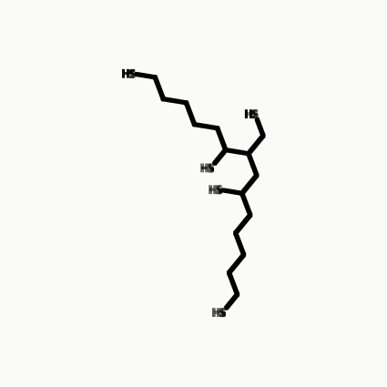 SCCCCCC(S)CC(CS)C(S)CCCCCS